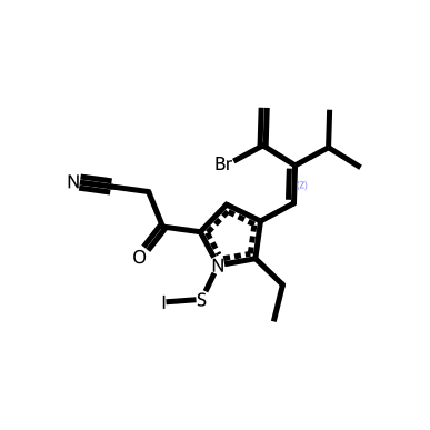 C=C(Br)/C(=C\c1cc(C(=O)CC#N)n(SI)c1CC)C(C)C